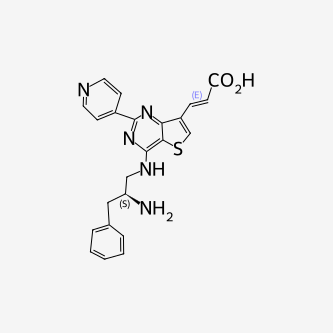 N[C@H](CNc1nc(-c2ccncc2)nc2c(/C=C/C(=O)O)csc12)Cc1ccccc1